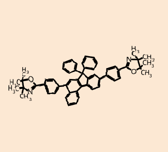 CC1(C)N=C(c2ccc(-c3ccc4c(c3)C(c3ccccc3)(c3ccccc3)c3cc(-c5ccc(C6=NC(C)(C)C(C)(C)O6)cc5)c5ccccc5c3-4)cc2)OC1(C)C